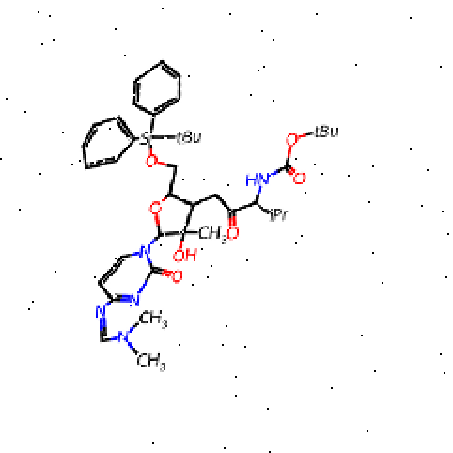 CC(C)[C@H](NC(=O)OC(C)(C)C)C(=O)CC1C(CO[Si](c2ccccc2)(c2ccccc2)C(C)(C)C)OC(n2ccc(/N=C\N(C)C)nc2=O)C1(C)O